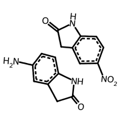 Nc1ccc2c(c1)CC(=O)N2.O=C1Cc2cc([N+](=O)[O-])ccc2N1